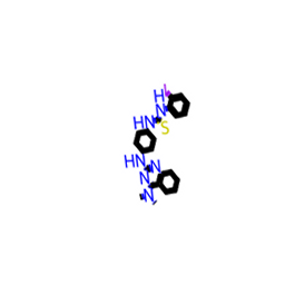 CN(C)c1nc(N[C@H]2CC[C@@H](NC(=S)Nc3ccccc3I)CC2)nc2c1CCCC2